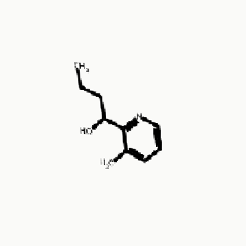 CCCC(O)c1ncccc1C